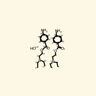 CCN(CC)CCOC(=O)c1ccc(N)cc1.CCN(CC)CCOC(=O)c1ccc(N)cc1.Cl